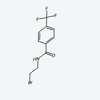 O=C(NCCBr)c1ccc(C(F)(F)F)cc1